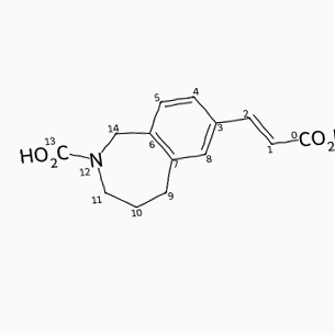 CCOC(=O)C=Cc1ccc2c(c1)CCCN(C(=O)O)C2